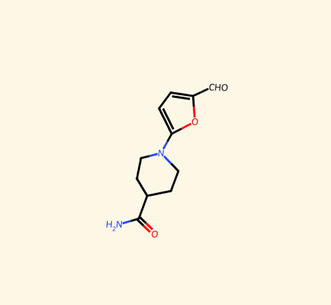 NC(=O)C1CCN(c2ccc(C=O)o2)CC1